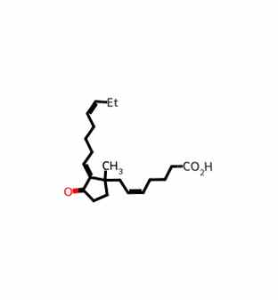 CC/C=C\CCC/C=C1/C(=O)CCC1(C)C/C=C\CCCC(=O)O